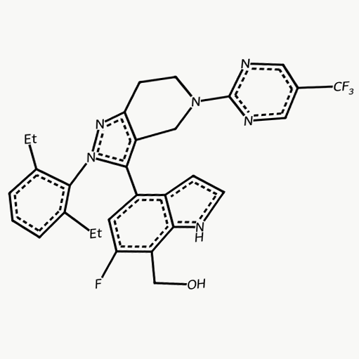 CCc1cccc(CC)c1-n1nc2c(c1-c1cc(F)c(CO)c3[nH]ccc13)CN(c1ncc(C(F)(F)F)cn1)CC2